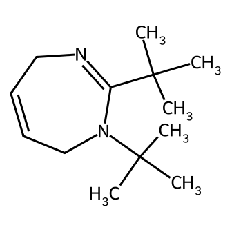 CC(C)(C)C1=NCC=CCN1C(C)(C)C